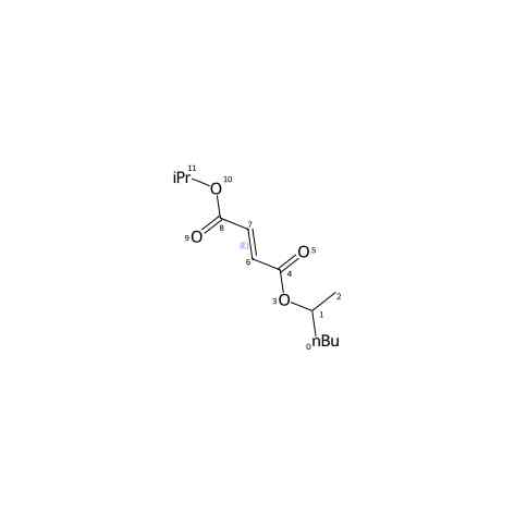 CCCCC(C)OC(=O)/C=C/C(=O)OC(C)C